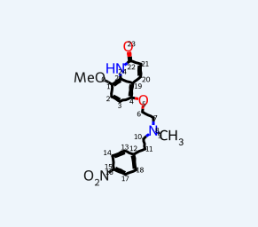 COc1ccc(OCCN(C)CCc2ccc([N+](=O)[O-])cc2)c2ccc(=O)[nH]c12